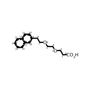 O=C(O)CCOCCOCCc1ccc2ccccc2c1